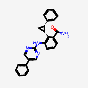 NC(=O)c1cccc(Nc2ncc(-c3ccccc3)cn2)c1[C@@H]1C[C@@H]1c1ccccc1